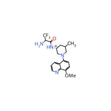 COc1ccc(N2CC(C)C[C@@H](NC(=O)C(N)C(F)(F)F)C2)c2cccnc12